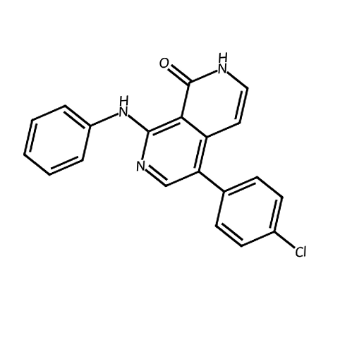 O=c1[nH]ccc2c(-c3ccc(Cl)cc3)cnc(Nc3ccccc3)c12